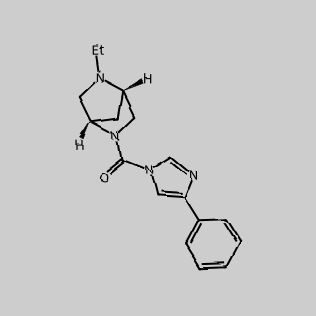 CCN1C[C@@H]2C[C@H]1CN2C(=O)n1cnc(-c2ccccc2)c1